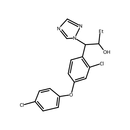 CCC(O)C(c1ccc(Oc2ccc(Cl)cc2)cc1Cl)n1cncn1